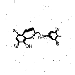 Cc1c(Br)cc(NCc2ccc3c(Br)cc(Br)c(O)c3n2)cc1Br